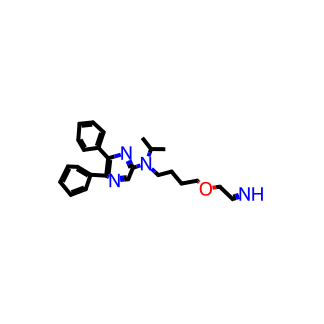 CC(C)N(CCCCOCC=N)c1cnc(-c2ccccc2)c(-c2ccccc2)n1